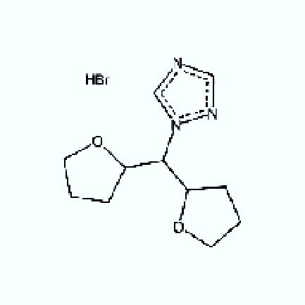 Br.c1ncn(C(C2CCCO2)C2CCCO2)n1